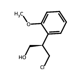 COc1ccccc1[C@H](CO)CCl